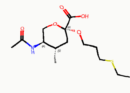 CCSCCCO[C@]1(C(=O)O)C[C@H](C)[C@@H](NC(C)=O)CO1